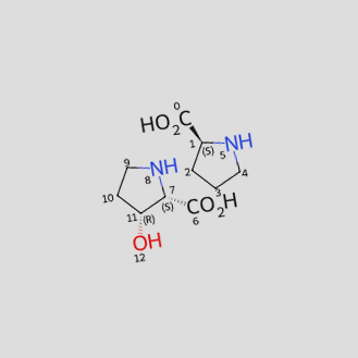 O=C(O)[C@@H]1CCCN1.O=C(O)[C@H]1NCC[C@H]1O